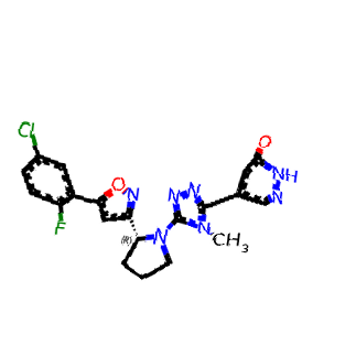 Cn1c(-c2cn[nH]c(=O)c2)nnc1N1CCC[C@@H]1c1cc(-c2cc(Cl)ccc2F)on1